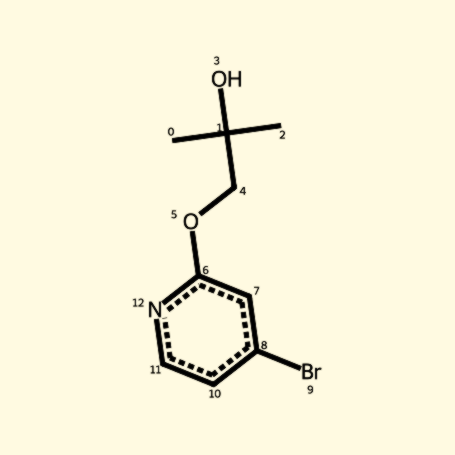 CC(C)(O)COc1cc(Br)ccn1